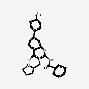 O=C(Nc1nc2cc(-c3ccc(C(F)(F)F)cc3)ccc2c(=O)n1CC1CCCO1)c1ccccc1